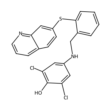 Oc1c(Cl)cc(NCc2ccccc2Sc2ccc3cccnc3c2)cc1Cl